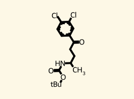 CC(CCC(=O)c1ccc(Cl)c(Cl)c1)NC(=O)OC(C)(C)C